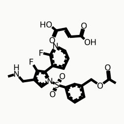 CNCc1cn(S(=O)(=O)c2cccc(COC(C)=O)c2)c(-c2cccnc2F)c1F.O=C(O)/C=C/C(=O)O